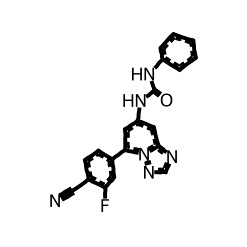 N#Cc1ccc(-c2cc(NC(=O)Nc3ccccc3)cc3ncnn23)cc1F